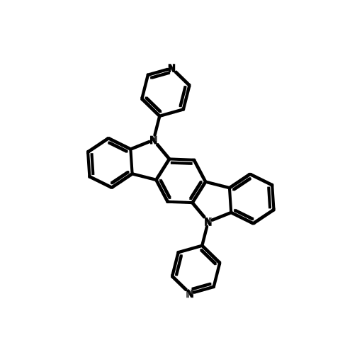 c1ccc2c(c1)c1cc3c(cc1n2-c1ccncc1)c1ccccc1n3-c1ccncc1